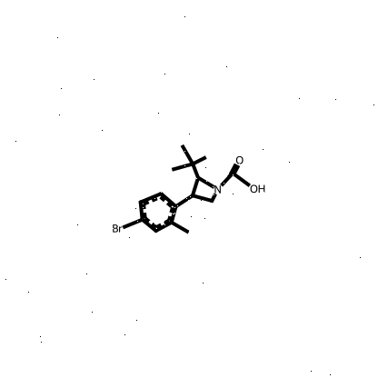 Cc1cc(Br)ccc1C1CN(C(=O)O)C1C(C)(C)C